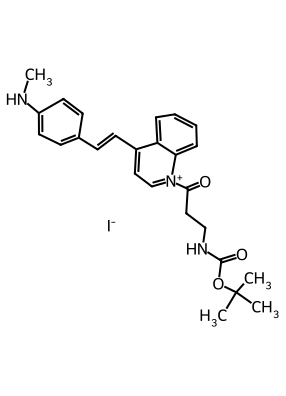 CNc1ccc(C=Cc2cc[n+](C(=O)CCNC(=O)OC(C)(C)C)c3ccccc23)cc1.[I-]